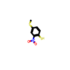 CSc1ccc(S)c([N+](=O)[O-])c1